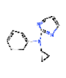 c1ccc(N(c2ncccn2)C2CC2)cc1